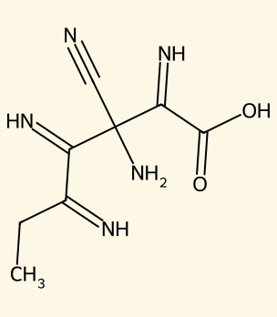 CCC(=N)C(=N)C(N)(C#N)C(=N)C(=O)O